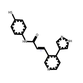 O=C(/C=C/c1cnccc1-c1cn[nH]c1)Nc1ccc(S)cc1